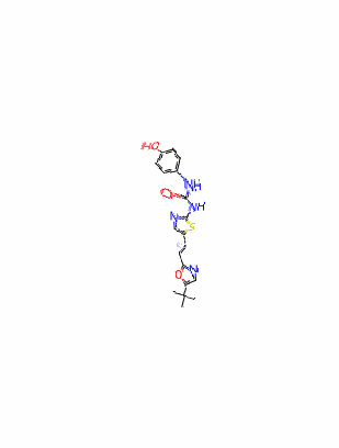 CC(C)(C)c1cnc(/C=C/c2cnc(NC(=O)Nc3ccc(O)cc3)s2)o1